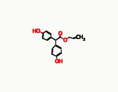 C=CCOC(=O)C(c1ccc(O)cc1)c1ccc(O)cc1